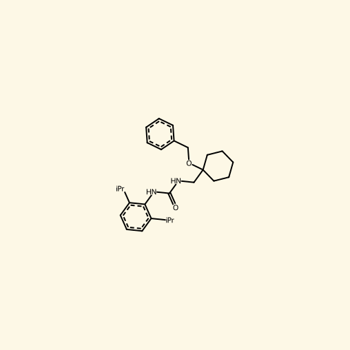 CC(C)c1cccc(C(C)C)c1NC(=O)NCC1(OCc2ccccc2)CCCCC1